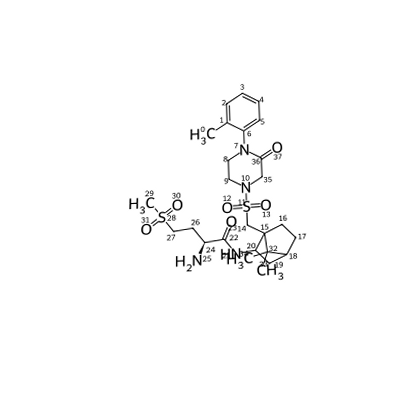 Cc1ccccc1N1CCN(S(=O)(=O)CC23CCC(CC2NC(=O)[C@@H](N)CCS(C)(=O)=O)C3(C)C)CC1=O